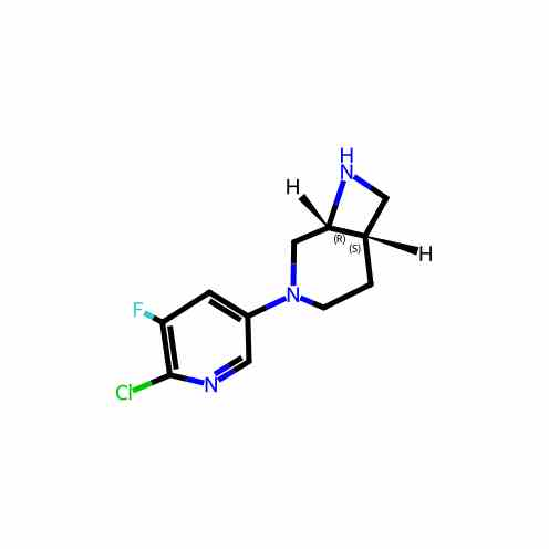 Fc1cc(N2CC[C@H]3CN[C@H]3C2)cnc1Cl